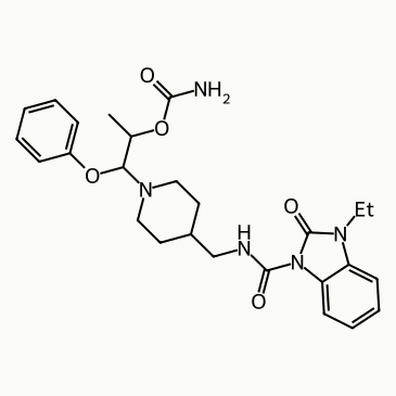 CCn1c(=O)n(C(=O)NCC2CCN(C(Oc3ccccc3)C(C)OC(N)=O)CC2)c2ccccc21